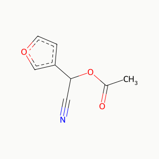 CC(=O)OC(C#N)c1ccoc1